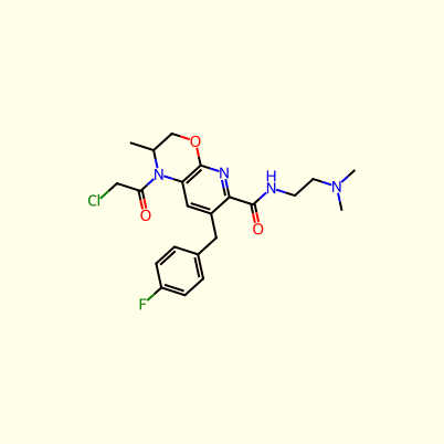 CC1COc2nc(C(=O)NCCN(C)C)c(Cc3ccc(F)cc3)cc2N1C(=O)CCl